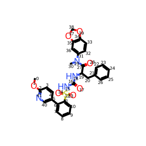 COc1ccc(-c2ccccc2S(=O)(=O)NC(=O)NC(Cc2ccccc2)C(=O)N(C)c2ccc3c(c2)OCO3)cn1